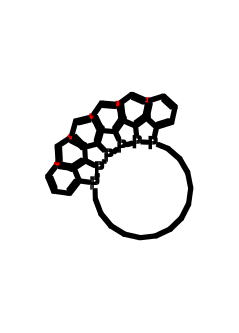 c1ccc(P2CCCCCCCCCCCCCP(c3ccccc3)P(c3ccccc3)P(c3ccccc3)P(c3ccccc3)P2c2ccccc2)cc1